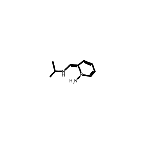 CC(C)N/C=C1/C=CC=CN1N